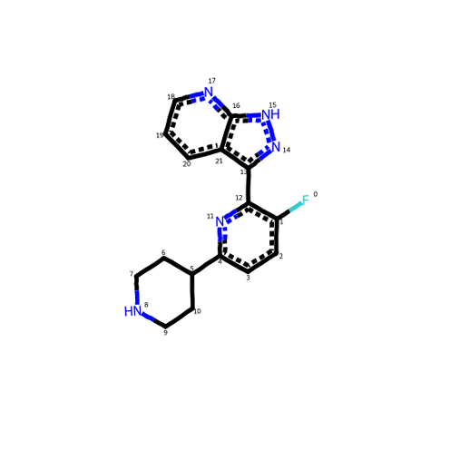 Fc1ccc(C2CCNCC2)nc1-c1n[nH]c2ncccc12